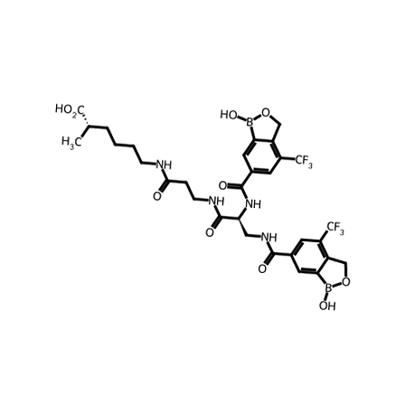 C[C@@H](CCCCNC(=O)CCNC(=O)[C@H](CNC(=O)c1cc2c(c(C(F)(F)F)c1)COB2O)NC(=O)c1cc2c(c(C(F)(F)F)c1)COB2O)C(=O)O